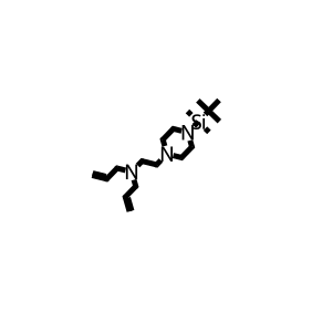 C=CCN(CC=C)CCN1CCN([Si](C)(C)C(C)(C)C)CC1